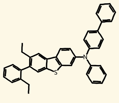 CCc1ccccc1-c1cc2sc3cc(N(c4ccccc4)c4ccc(-c5ccccc5)cc4)ccc3c2cc1CC